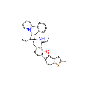 C=CC1C2C(c3ccccc3-c3cccc[n+]32)C12Cc1ccc3c(oc4c5cc(C)sc5ccc34)c1/C(=C/C)N2